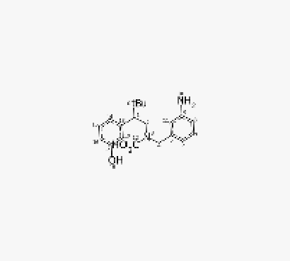 CC(C)(C)C(CN(Cc1cccc(N)c1)C(=O)O)c1cccc(O)c1